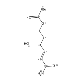 CC(C)(C)C(=O)OCCCC=NC(N)=S.Cl